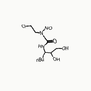 CCCCC(NC(=O)N(CCCl)N=O)C(O)CO